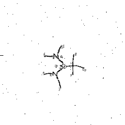 C[N](C)[Sb]([N](C)C)[C](C)(C)C